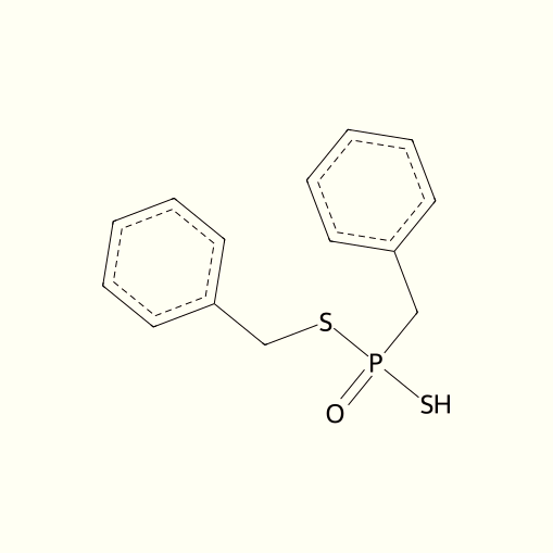 O=P(S)(Cc1ccccc1)SCc1ccccc1